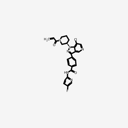 C=CC(=O)N1CCC[C@@H](n2nc(-c3ccc(C(=O)Nc4ccc(F)cn4)cc3)c3cncc(Cl)c32)C1